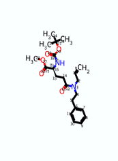 C=CCN(CCc1ccccc1)C(=O)CC[C@H](NC(=O)OC(C)(C)C)C(=O)OC